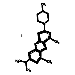 Cc1cc(N(C)C)cc2[s+]c3cc(N4CCN(C)CC4)cc(C)c3nc12.[I-]